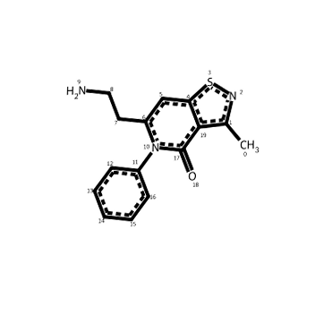 Cc1nsc2cc(CCN)n(-c3ccccc3)c(=O)c12